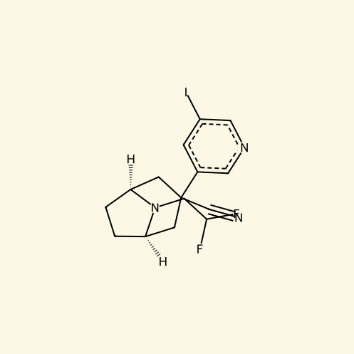 N#CC1(c2cncc(I)c2)C[C@H]2CC[C@@H](C1)N2CC(F)F